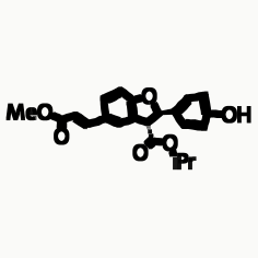 COC(=O)/C=C/c1ccc2c(c1)[C@@H](C(=O)OC(C)C)[C@H](c1ccc(O)cc1)O2